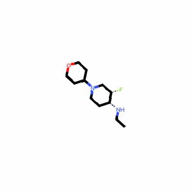 CCN[C@@H]1CCN(C2CCOCC2)C[C@@H]1F